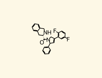 O=C([C@@H]1Cc2ccccc2CN1)N1CC(c2cc(F)ccc2F)=CC1c1ccccc1